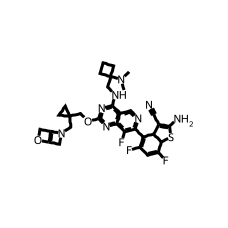 CN(C)C1(CNc2nc(OCC3(CN4CC5=C4CO5)CC3)nc3c(F)c(C4=C(F)C=C(F)C5SC(N)=C(C#N)C45)ncc23)CCC1